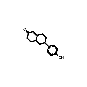 O=C1C=C2CCC(c3ccc(O)cc3)CC2CC1